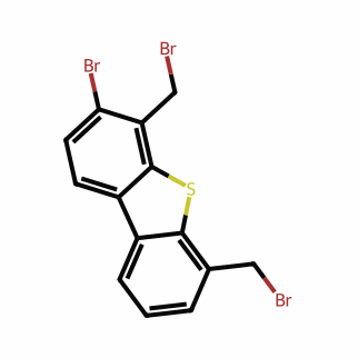 BrCc1cccc2c1sc1c(CBr)c(Br)ccc12